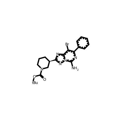 CC(C)(C)OC(=O)N1CCC[C@@H](c2nc3c(Br)c(-c4ccccc4)nc(N)n3n2)C1